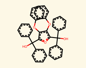 OC(c1ccccc1)(c1ccccc1)c1oc(C(O)(c2ccccc2)c2ccccc2)c(Oc2ccccc2)c1Oc1ccccc1